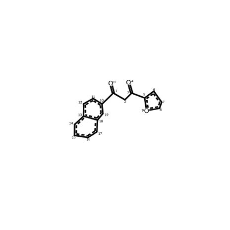 O=C(CC(=O)c1ccco1)c1ccc2ccccc2c1